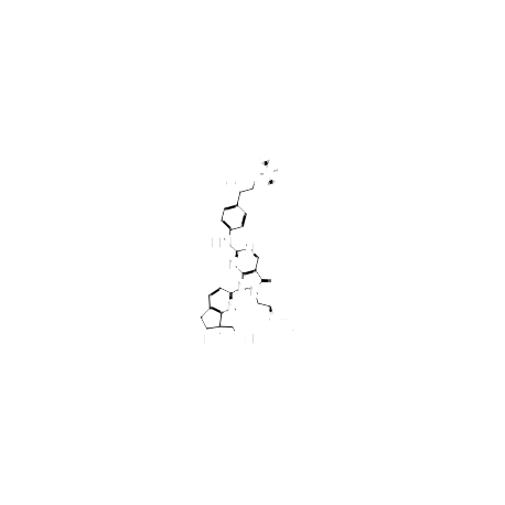 C=CCn1c(=O)c2cnc(Nc3ccc([C@H](O)COS(C)(=O)=O)cc3)nc2n1-c1ccc2c(n1)[C@@](O)(CC)CC2